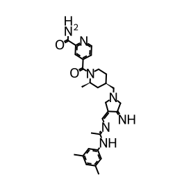 C/C(=N\C=C1\CN(C[C@@H]2CCN(C(=O)c3ccnc(C(N)=O)c3)[C@H](C)C2)CC1=N)Nc1cc(C)cc(C)c1